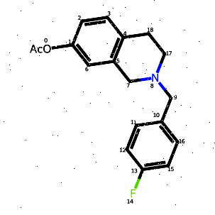 CC(=O)Oc1ccc2c(c1)CN(Cc1ccc(F)cc1)CC2